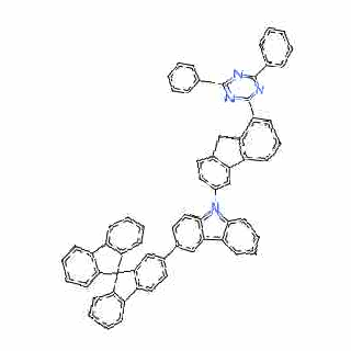 c1ccc(-c2nc(-c3ccccc3)nc(-c3cccc4c3Cc3ccc(-n5c6ccccc6c6cc(-c7ccc8c(c7)C7(c9ccccc9-c9ccccc97)c7ccccc7-8)ccc65)cc3-4)n2)cc1